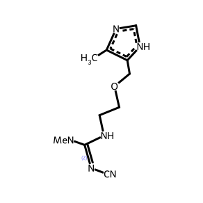 CN/C(=N/C#N)NCCOCc1[nH]cnc1C